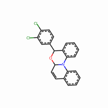 Clc1ccc(C2OC3C=Cc4ccccc4N3c3ccccc32)cc1Cl